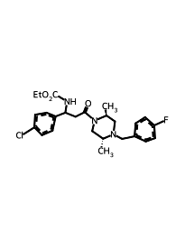 CCOC(=O)NC(CC(=O)N1C[C@@H](C)N(Cc2ccc(F)cc2)C[C@@H]1C)c1ccc(Cl)cc1